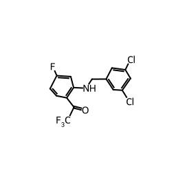 O=C(c1ccc(F)cc1NCc1cc(Cl)cc(Cl)c1)C(F)(F)F